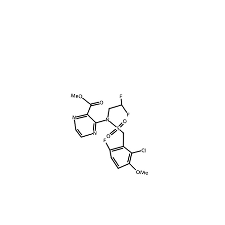 COC(=O)c1nccnc1N(CC(F)F)S(=O)(=O)Cc1c(F)ccc(OC)c1Cl